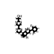 CC(C)(O)c1ncc(-c2nccc([C@]34CC[C@@H](c5cc(-c6c(F)cccc6F)nnc53)C4(C)C)n2)cn1